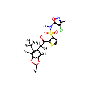 [2H]c1c2c(c([2H])c(C([2H])([2H])C(=O)c3sccc3S(=O)(=O)N([2H])c3onc(C)c3Cl)c1C([2H])([2H])[2H])OC([2H])O2